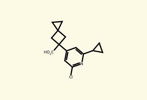 O=C(O)C1(c2cc(Cl)nc(C3CC3)c2)CC2(CC2)C1